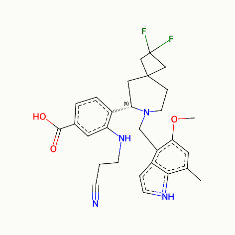 COc1cc(C)c2[nH]ccc2c1CN1CCC2(C[C@H]1c1ccc(C(=O)O)cc1NCCC#N)CC(F)(F)C2